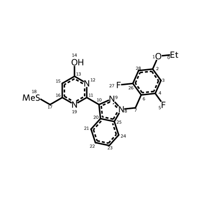 CCOc1cc(F)c(Cn2nc(-c3nc(O)cc(CSC)n3)c3ccccc32)c(F)c1